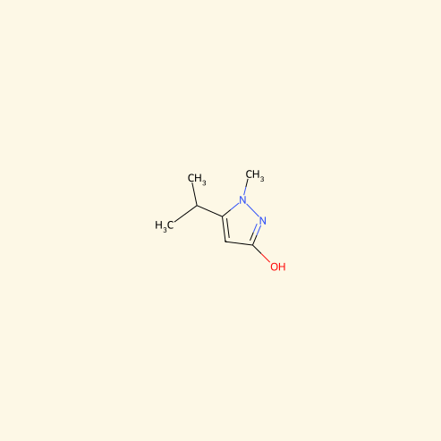 CC(C)c1cc(O)nn1C